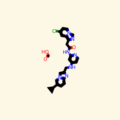 O=C(Cc1ncn2ccc(Cl)cc12)Nc1cc(NCc2cn3cc(C4CC4)ccc3n2)ccn1.O=CO